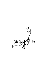 C/C(=C/c1ncn(CCCN2CCO[C@@H](C)C2)c1C(C)C)NC(=O)/C(=C/c1cccc(F)c1)NC=O